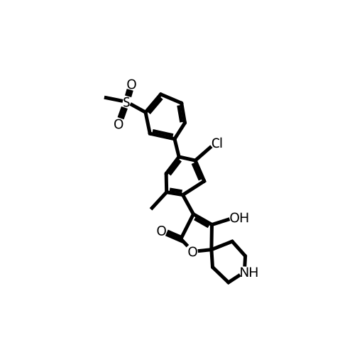 Cc1cc(-c2cccc(S(C)(=O)=O)c2)c(Cl)cc1C1=C(O)C2(CCNCC2)OC1=O